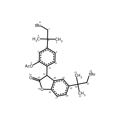 CC(=O)Oc1cc(C(C)(C)CC(C)(C)C)ccc1C1C(=O)Oc2ccc(C(C)(C)CC(C)(C)C)cc21